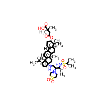 C=C(C)[C@@H]1CC[C@]2(NCC(C(C)NS(=O)(=O)C(C)C)N3CCS(=O)(=O)CC3)CC[C@]3(C)[C@H](CC[C@@H]4[C@@]5(C)CC[C@H](OC(=O)CC(C)(C)C(=O)O)C(C)(C)[C@@H]5CC[C@]43C)[C@@H]12